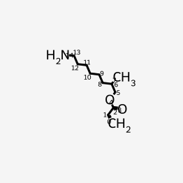 C=CC(=O)OCC(C)CCCCCCN